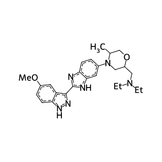 CCN(CC)CC1CN(c2ccc3nc(-c4n[nH]c5ccc(OC)cc45)[nH]c3c2)C(C)CO1